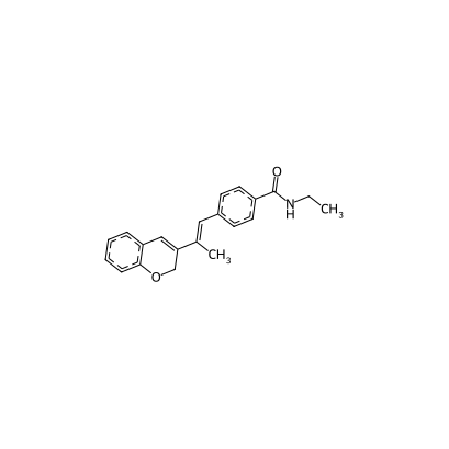 CCNC(=O)c1ccc(C=C(C)C2=Cc3ccccc3OC2)cc1